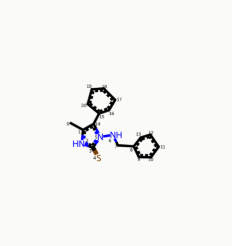 Cc1[nH]c(=S)n(NCc2ccccc2)c1-c1ccccc1